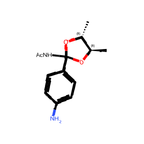 CC(=O)NC1(c2ccc(N)cc2)O[C@H](C)[C@@H](C)O1